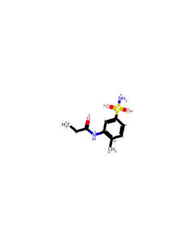 CCC(=O)Nc1cc(S(N)(=O)=O)ccc1C